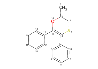 CC1CSC(c2ccccc2)=C(c2ccccc2)O1